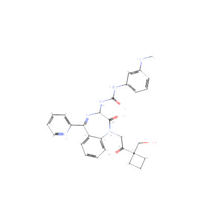 CNc1cccc(NC(=O)NC2N=C(c3ccccn3)c3ccccc3N(CC(=O)C3(CO)CCC3)C2=O)c1